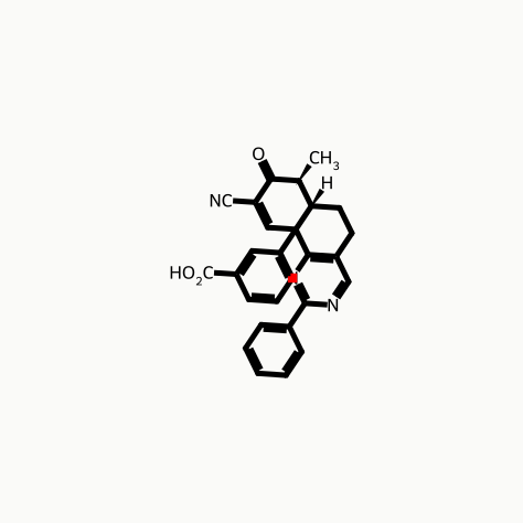 C[C@@H]1C(=O)C(C#N)=CC2(c3cccc(C(=O)O)c3)c3nc(-c4ccccc4)ncc3CC[C@@H]12